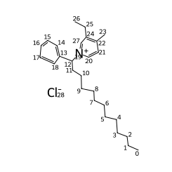 CCCCCCCCCCCCC(c1ccccc1)[n+]1ccc(C)c(CC)c1.[Cl-]